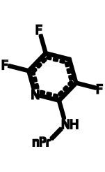 CCCNc1nc(F)c(F)cc1F